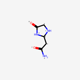 NC(=O)CC1NCC(=O)N1